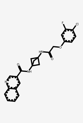 O=C(COc1ccc(Cl)c(F)c1)NC12CC(NC(=O)c3cnc4ccccc4c3)(C1)C2